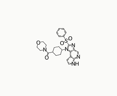 O=C(C1CCC(n2c(S(=O)(=O)c3ccccc3)nc3cnc4[nH]ccc4c32)CC1)N1CCOCC1